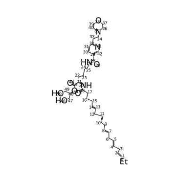 CCC=CCC=CCC=CCC=CCC=CCCCC(=O)N[C@@H](CCCCNC(=O)c1ccc(CCN2CCOCC2)nc1)C(=O)OC(CO)CO